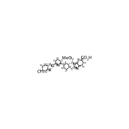 COCCn1c(Cc2ccc(-c3cccc(OCc4ccc(Cl)cc4F)n3)cc2)nc2ccc(C(=O)O)cc21